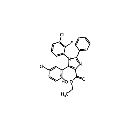 CCOC(=O)c1nc(-c2ccccc2)n(-c2cccc(Cl)c2F)c1-c1cc(Cl)ccc1O